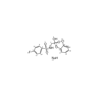 O=P(O)(CNS(=O)(=O)c1ccc(F)cc1)Oc1cccnc1Cl.[NaH]